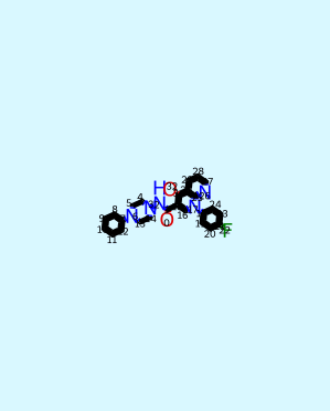 O=C(NN1CCN(c2ccccc2)CC1)c1cn(-c2ccc(F)cc2)c2ncccc2c1=O